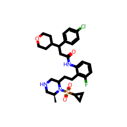 C[C@H]1CNCC(CCc2c(F)cccc2NC(=O)CC(c2ccc(Cl)cc2)C2CCOCC2)N1S(=O)(=O)C1CC1